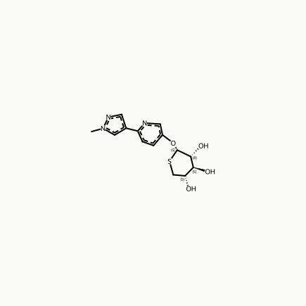 Cn1cc(-c2ccc(O[C@H]3SC[C@@H](O)[C@H](O)[C@H]3O)cn2)cn1